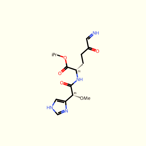 CO[C@@H](C(=O)N[C@@H](CCC(=O)C=N)C(=O)OC(C)C)c1c[nH]cn1